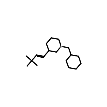 CC(C)(C)/C=C/C1CCCN(CC2CCCCC2)C1